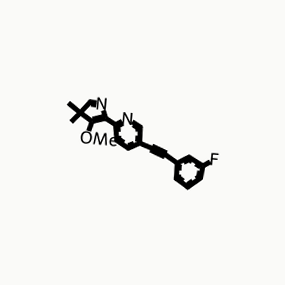 COC1=C(c2ccc(C#Cc3cccc(F)c3)cn2)N=CC1(C)C